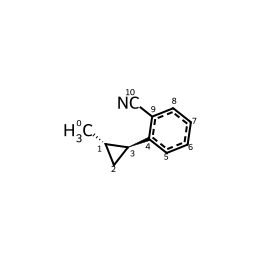 C[C@H]1C[C@@H]1c1ccccc1C#N